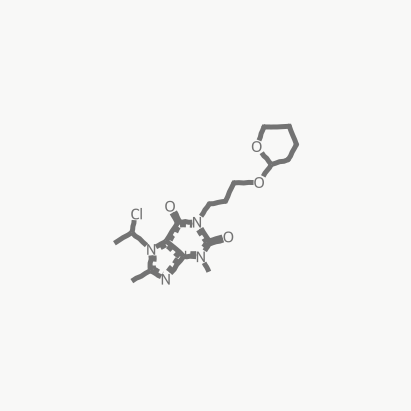 Cc1nc2c(c(=O)n(CCCOC3CCCCO3)c(=O)n2C)n1C(C)Cl